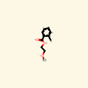 CCOCCOC(=O)c1ccccc1C